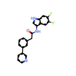 O=C(Cc1cccc(-c2cccnc2)c1)Nc1c[nH]c2cc(F)c(F)cc12